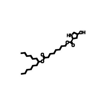 CCCCCCC(CCCCCC)OC(=O)CCCCCCCOC(=O)[C@@H]1CC(O)CN1